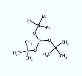 CC[Si](CC)(CC)OP(O[Si](C)(C)C)O[Si](C)(C)C